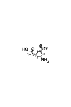 Nc1cc(NC(=O)CO)cc([N+](=O)[O-])c1